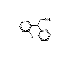 NCC1c2ccccc2Sc2ccccc21